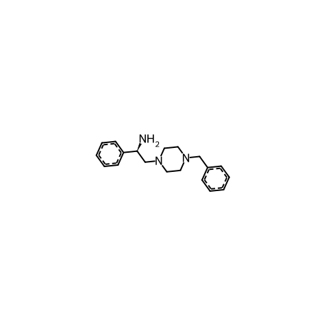 N[C@@H](CN1CCN(Cc2ccccc2)CC1)c1ccccc1